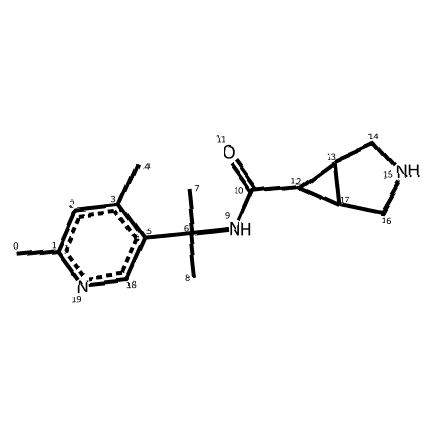 Cc1cc(C)c(C(C)(C)NC(=O)C2C3CNCC32)cn1